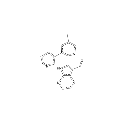 Cc1ccc(-c2[nH]c3ncccc3c2C=O)c(-c2cccnc2)c1